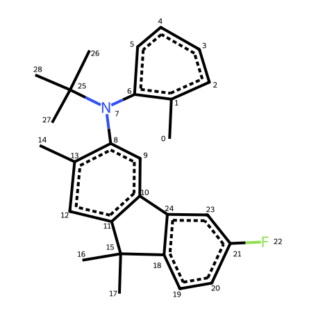 Cc1ccccc1N(c1cc2c(cc1C)C(C)(C)c1ccc(F)cc1-2)C(C)(C)C